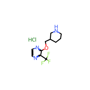 Cl.FC(F)(F)c1nccnc1OCC1CCCNC1